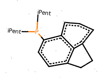 CCCC(C)P(c1ccc2c3c(cccc13)CC2)C(C)CCC